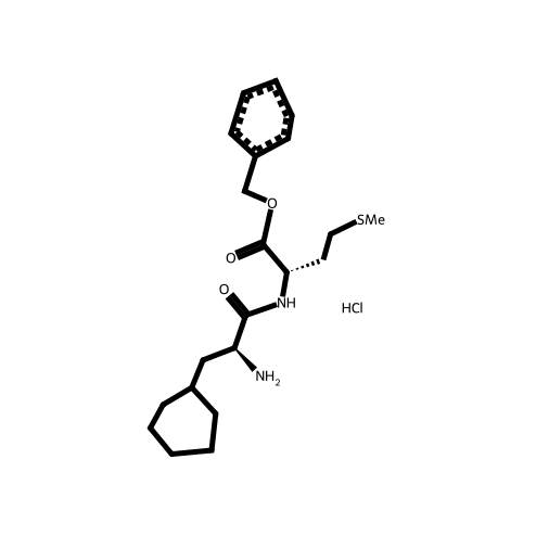 CSCC[C@H](NC(=O)[C@@H](N)CC1CCCCC1)C(=O)OCc1ccccc1.Cl